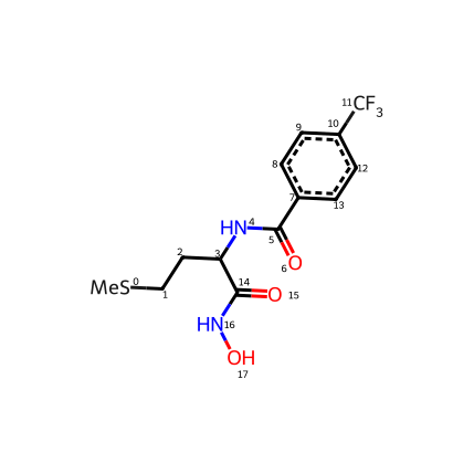 CSCCC(NC(=O)c1ccc(C(F)(F)F)cc1)C(=O)NO